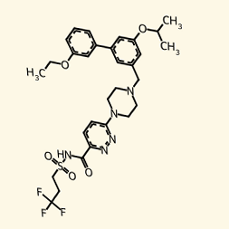 CCOc1cccc(-c2cc(CN3CCN(c4ccc(C(=O)NS(=O)(=O)CCC(F)(F)F)nn4)CC3)cc(OC(C)C)c2)c1